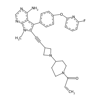 C=CC(=O)N1CCC(N2CC(C#Cc3c(-c4ccc(Oc5cccc(F)n5)cc4)c4c(N)ncnc4n3C)C2)CC1